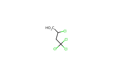 O=C(O)C(Cl)CC(Cl)(Cl)Cl